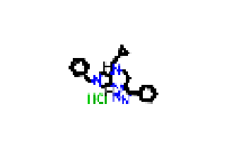 Cl.c1ccc(CN2C[C@@H]3[C@H](C2)n2nnc(-c4ccccc4)c2CCN3CC2CC2)cc1